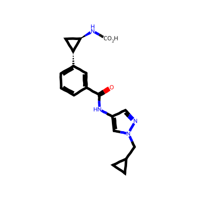 O=C(O)N[C@@H]1C[C@H]1c1cccc(C(=O)Nc2cnn(CC3CC3)c2)c1